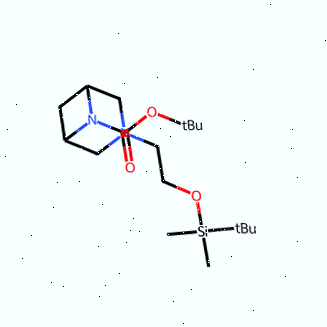 CC(C)(C)OC(=O)N1C2CC1CN(CCO[Si](C)(C)C(C)(C)C)C2